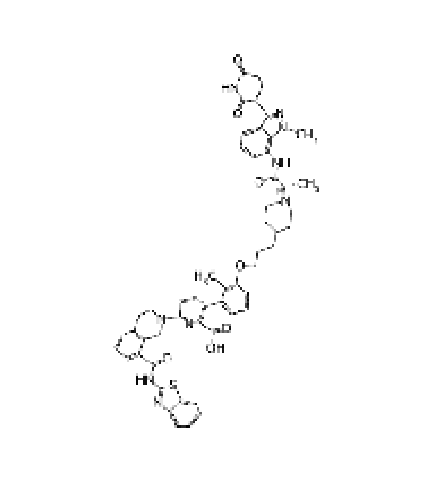 Cc1c(OCCCC2CCN([C@@H](C)C(=O)Nc3cccc4c(C5CCC(=O)NC5=O)nn(C)c34)CC2)cccc1-c1ccc(N2CCc3cccc(C(=O)Nc4nc5ccccc5s4)c3C2)nc1C(=O)O